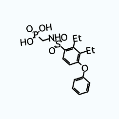 CCc1c(Oc2ccccc2)ccc(S(=O)(=O)NCP(=O)(O)O)c1CC